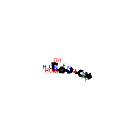 C[C@@]1(C(=O)O)C[C@@H](O)CN1C(=O)c1ccc(-c2ccc(OCC3CCN(CC4(C(F)(F)F)CCC4)CC3)cn2)c(F)c1